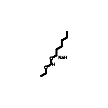 CCCCCCOPOCC.[NaH]